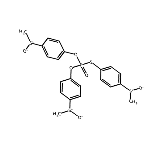 C[S+]([O-])c1ccc(OP(=O)(Oc2ccc([S+](C)[O-])cc2)Sc2ccc([S+](C)[O-])cc2)cc1